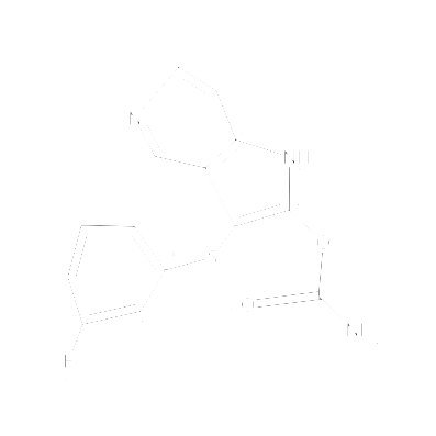 NC(=O)Oc1[nH]c2ccncc2c1Sc1cccc(F)c1